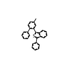 Cc1ccc(-c2ccccc2)c(-c2sc(-c3ccccc3)c3ccccc23)c1